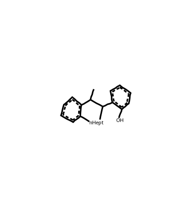 CCCCCCCc1ccccc1C(C)C(C)c1ccccc1O